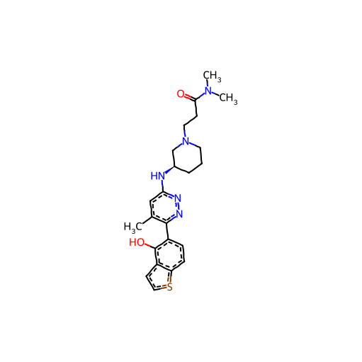 Cc1cc(N[C@@H]2CCCN(CCC(=O)N(C)C)C2)nnc1-c1ccc2sccc2c1O